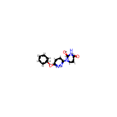 O=c1ccn(-c2ccc(Oc3ccccc3)nn2)c(=O)[nH]1